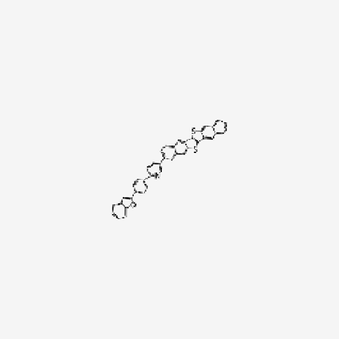 c1ccc2cc3c(cc2c1)sc1c2cc4ccc(-c5ccc(-c6ccc(-c7cc8ccccc8o7)cc6)nc5)cc4cc2sc31